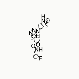 O=C(NCc1cccc(F)c1)OC1CCc2c(sc3ncnc(Nc4ccc5[nH]c(=O)sc5c4)c23)C1